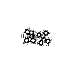 CC1(C)c2ccccc2-c2cccc(N(c3cccc(C(=C(c4ccccc4)c4ccccc4)c4ccccc4)c3)c3ccc4ccccc4c3)c21